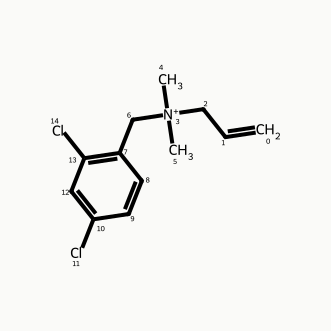 C=CC[N+](C)(C)Cc1ccc(Cl)cc1Cl